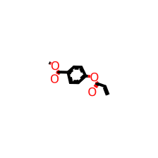 C=CC(=O)Oc1ccc(C(=O)OC)cc1